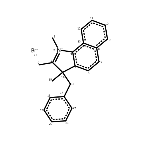 CC1=[N+](C)c2c(ccc3ccccc23)C1(C)Cc1ccccc1.[Br-]